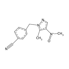 Cc1c([N+](C)=O)cnn1Cc1ccc(C#N)cc1